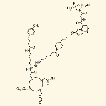 Cc1ccc(CCCC(=O)NCCCC[C@@H](N/N=C/CCCCCC(=O)N2CCC(CCCCOc3ccc4nccc(C(=O)NCC(=O)N5CC(C)(F)C[C@@H]5C#N)c4c3)CC2)NC(=O)CN2CCN(COC=O)CCN(COC=O)CCN(CC(=O)O)CC2)cc1